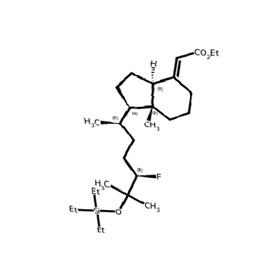 CCOC(=O)C=C1CCC[C@]2(C)[C@@H]([C@H](C)CC[C@@H](F)C(C)(C)O[Si](CC)(CC)CC)CC[C@@H]12